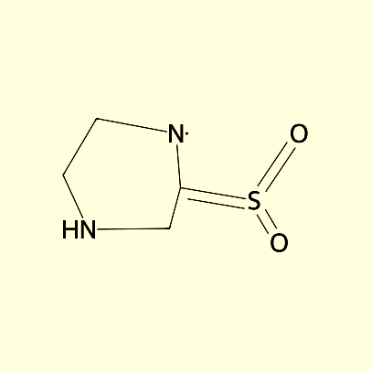 O=S(=O)=C1CNCC[N]1